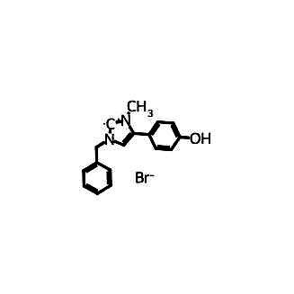 CN1[C+]N(Cc2ccccc2)C=C1c1ccc(O)cc1.[Br-]